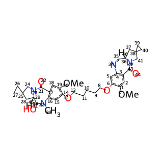 COc1cc2c(cc1OCCCCCOc1cc3c(cc1OC)C(=O)N1CC4(CC4)C[C@H]1[C@H](O)N3C)N=C[C@@H]1CC3(CC3)CN1C2=O